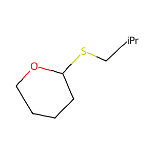 CC(C)CSC1CCCCO1